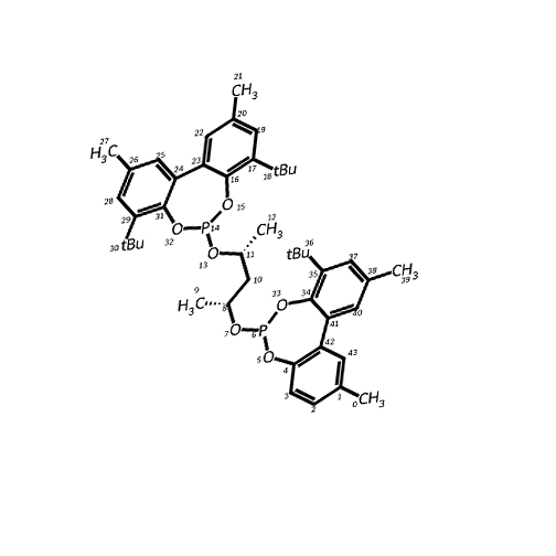 Cc1ccc2op(O[C@H](C)C[C@@H](C)Op3oc4c(C(C)(C)C)cc(C)cc4c4cc(C)cc(C(C)(C)C)c4o3)oc3c(C(C)(C)C)cc(C)cc3c2c1